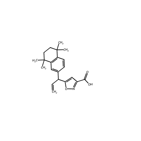 C=CC(c1ccc2c(c1)C(C)(C)CCC2(C)C)c1cc(C(=O)O)no1